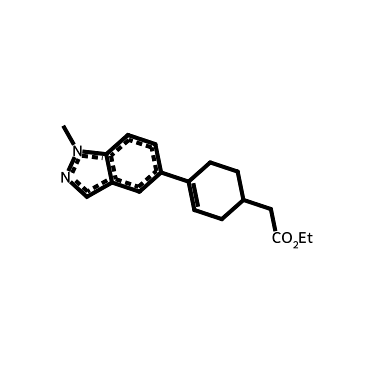 CCOC(=O)CC1CC=C(c2ccc3c(cnn3C)c2)CC1